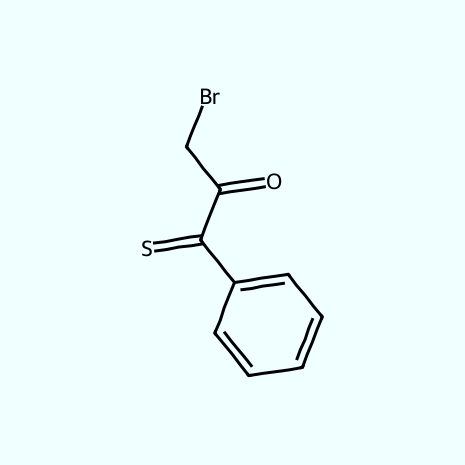 O=C(CBr)C(=S)c1ccccc1